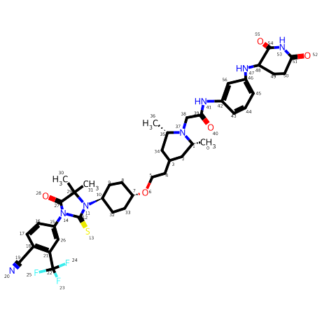 C[C@@H]1CC(CCO[C@H]2CC[C@H](N3C(=S)N(c4ccc(C#N)c(C(F)(F)F)c4)C(=O)C3(C)C)CC2)C[C@H](C)N1CC(=O)Nc1cccc(NC2CCC(=O)NC2=O)c1